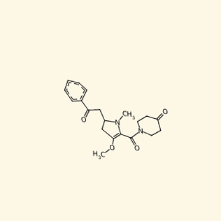 COC1=C(C(=O)N2CCC(=O)CC2)N(C)C(CC(=O)c2ccccc2)C1